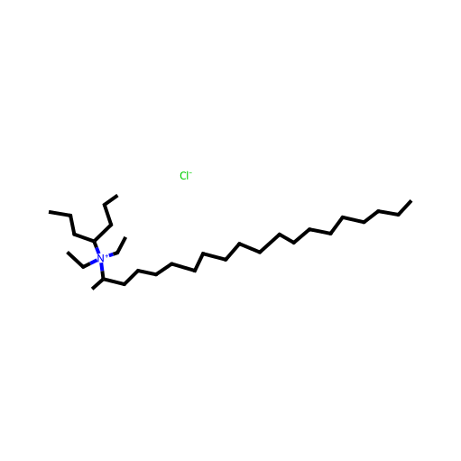 CCCCCCCCCCCCCCCCCCC(C)[N+](CC)(CC)C(CCC)CCC.[Cl-]